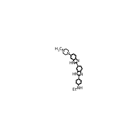 CCNc1ccc(-c2nc3ccc(-c4nc5ccc(N6CCN(C)CC6)cc5[nH]4)cc3[nH]2)cc1